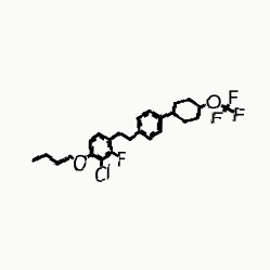 CCCCOc1ccc(CCc2ccc(C3CCC(OC(F)(F)F)CC3)cc2)c(F)c1Cl